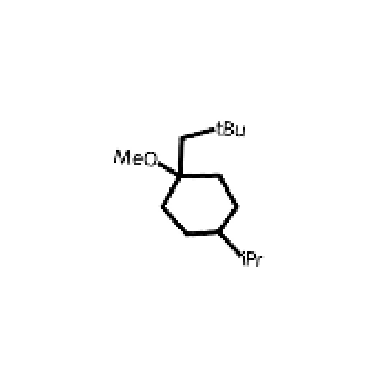 COC1(CC(C)(C)C)CCC(C(C)C)CC1